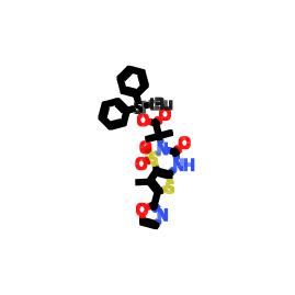 Cc1c(-c2ncco2)sc2c1S(=O)(=O)N(C(C)(C)C(=O)O[Si](c1ccccc1)(c1ccccc1)C(C)(C)C)C(=O)N2